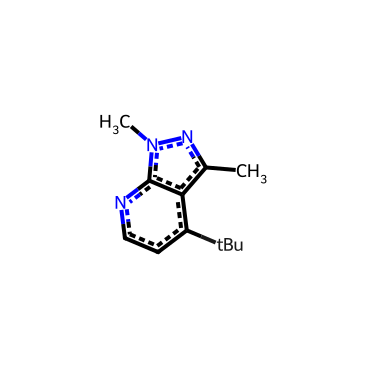 Cc1nn(C)c2nccc(C(C)(C)C)c12